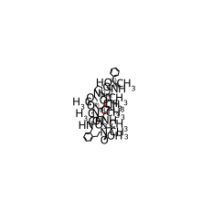 CCC(NC(=O)C(C(C)C)N(CCc1ccccc1CNC)C(=O)O)C(=O)N(C)C([C@@H](C)CC)[C@@H](CC(=O)N1CCC[C@H]1[C@H](OC)[C@@H](C)C(=O)N[C@H](C)[C@@H](O)c1ccccc1)OC